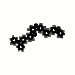 c1ccc(-n2c3ccccc3c3cc(-c4ccc5oc6c(ccc7oc8ccc(-c9cccc(-c%10ccc%11oc%12ccccc%12c%11c%10)c9)cc8c76)c5c4)ccc32)cc1